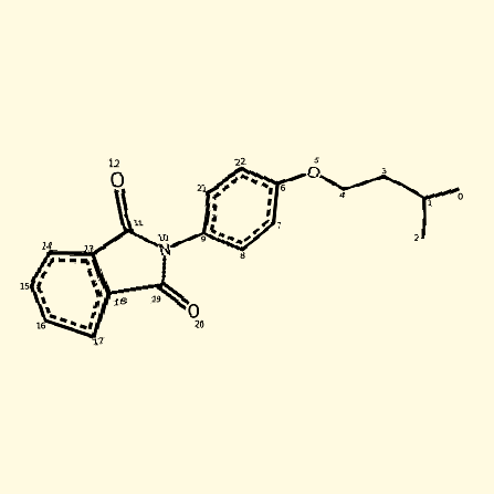 CC(C)CCOc1ccc(N2C(=O)c3ccccc3C2=O)cc1